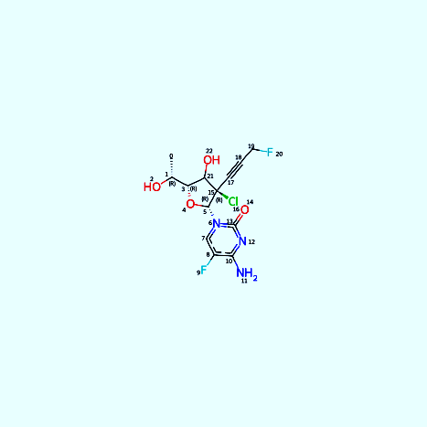 C[C@@H](O)[C@H]1O[C@@H](n2cc(F)c(N)nc2=O)[C@@](Cl)(C#CCF)C1O